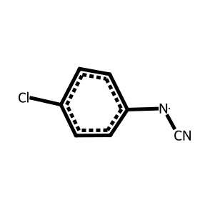 N#C[N]c1ccc(Cl)cc1